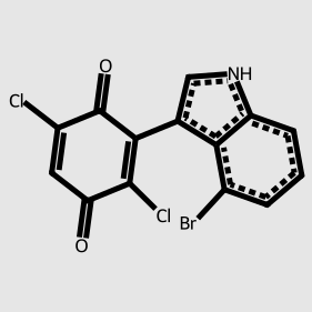 O=C1C=C(Cl)C(=O)C(c2c[nH]c3cccc(Br)c23)=C1Cl